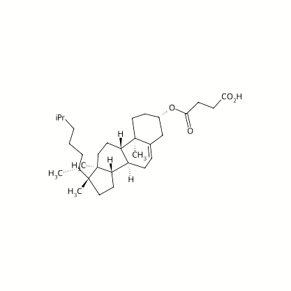 CC(C)CCC[C@@H](C)[C@@]1(C)CC[C@H]2[C@@H]3CC=C4C[C@@H](OC(=O)CCC(=O)O)CC[C@]4(C)[C@H]3CC[C@@]21C